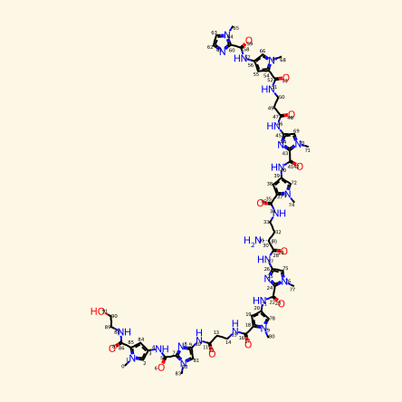 Cn1cc(NC(=O)c2nc(NC(=O)CCNC(=O)c3cc(NC(=O)c4nc(NC(=O)[C@H](N)CCNC(=O)c5cc(NC(=O)c6nc(NC(=O)CCNC(=O)c7cc(NC(=O)c8nccn8C)cn7C)cn6C)cn5C)cn4C)cn3C)cn2C)cc1C(=O)NCCO